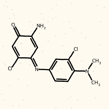 CN(C)c1ccc(N=C2C=C(N)C(=O)C=C2Cl)cc1Cl